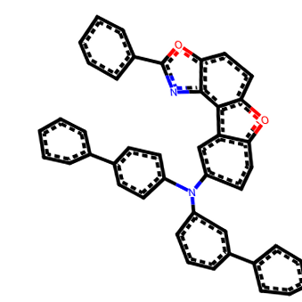 c1ccc(-c2ccc(N(c3cccc(-c4ccccc4)c3)c3ccc4oc5ccc6oc(-c7ccccc7)nc6c5c4c3)cc2)cc1